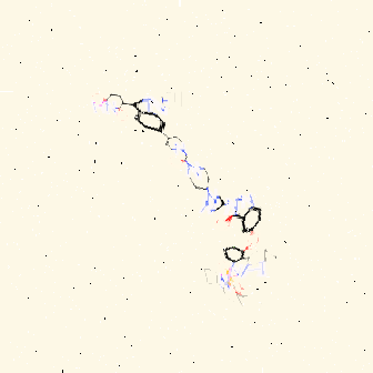 CCN(C)S(=O)(=O)Nc1ccc(F)c(Oc2ccc3ncn(-c4cnn(C5CCN(C(=O)CN6CCC(c7ccc8c(C9CCC(=O)NC9=O)cn(C)c8c7)CC6)CC5)c4)c(=O)c3c2)c1C#N